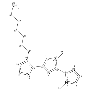 Cn1ccnc1-c1nc(-c2nccn2CCCCCCN)cn1C